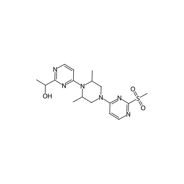 CC(O)c1nccc(N2C(C)CN(c3ccnc(S(C)(=O)=O)n3)CC2C)n1